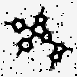 CC(=O)c1cc2c(C)sc(-c3cc4c(-c5ccc(C)cc5)c(-c5ccc(C)cc5)c5cc(C)sc5c4s3)c2s1